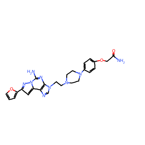 NC(=O)COc1ccc(N2CCN(CCn3cnc4c3nc(N)n3nc(-c5ccco5)cc43)CC2)cc1